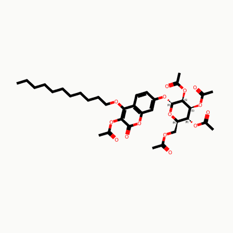 CCCCCCCCCCCOc1c(OC(C)=O)c(=O)oc2cc(O[C@H]3O[C@H](COC(C)=O)[C@@H](OC(C)=O)[C@H](OC(C)=O)[C@@H]3OC(C)=O)ccc12